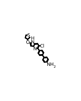 Nc1ccc(-c2ccc(-c3nc4cc(OC5CCSC5)[nH]c4cc3Cl)cc2)cc1